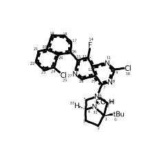 CC(C)(C)[C@]12CC[C@@H](CN(c3nc(Cl)nc4c(F)c(-c5cccc6cccc(Cl)c56)ncc34)C1)N2C(=O)O